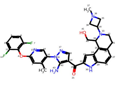 Cc1cc(Oc2c(F)cccc2F)ncc1-n1ncc(C(=O)c2cc3c4c(ccc3[nH]2)CCN(C2CN(C)C2)C4CO)c1N